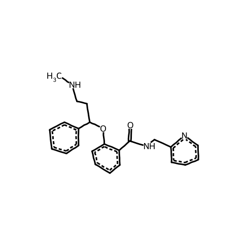 CNCCC(Oc1ccccc1C(=O)NCc1ccccn1)c1ccccc1